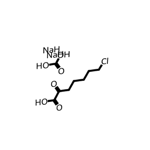 O=C(O)C(=O)CCCCCCl.O=C(O)O.[NaH].[NaH]